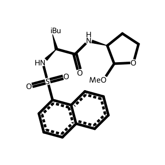 CC[C@H](C)[C@H](NS(=O)(=O)c1cccc2ccccc12)C(=O)N[C@H]1CCOC1OC